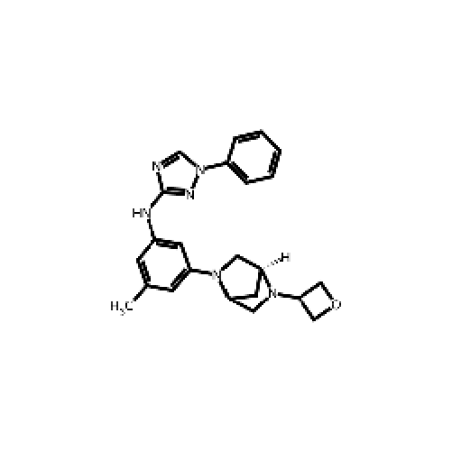 Cc1cc(Nc2ncn(-c3ccccc3)n2)cc(N2C[C@@H]3CC2CN3C2COC2)c1